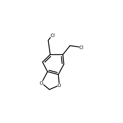 ClCc1cc2c(cc1CCl)OCO2